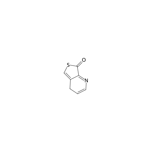 O=C1SC=C2CC=CN=C12